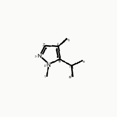 Cc1[c]nn(C)c1C(C)C